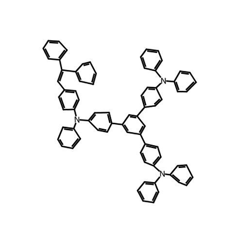 C(=C(c1ccccc1)c1ccccc1)c1ccc(N(c2ccccc2)c2ccc(-c3cc(-c4ccc(N(c5ccccc5)c5ccccc5)cc4)cc(-c4ccc(N(c5ccccc5)c5ccccc5)cc4)c3)cc2)cc1